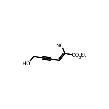 CCOC(=O)C(C#N)=CC#CCO